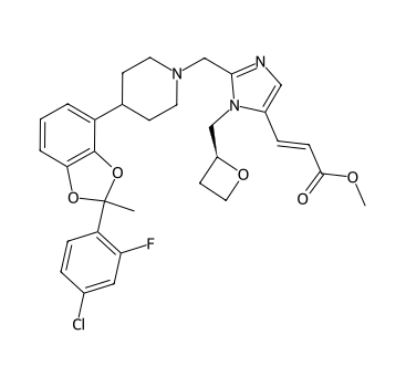 COC(=O)/C=C/c1cnc(CN2CCC(c3cccc4c3OC(C)(c3ccc(Cl)cc3F)O4)CC2)n1C[C@@H]1CCO1